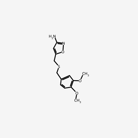 COc1ccc(CSCc2cc(N)no2)cc1OC